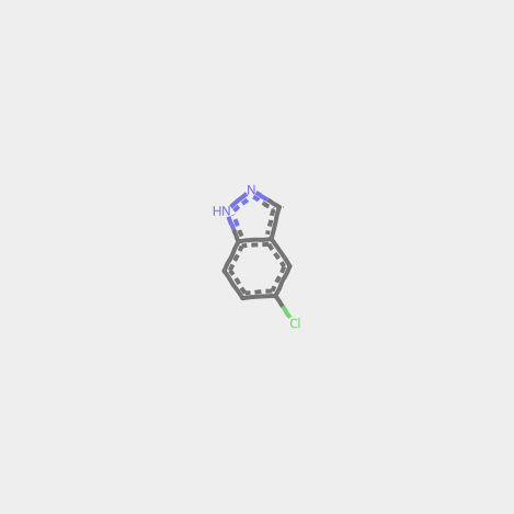 Clc1ccc2[nH]n[c]c2c1